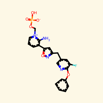 Nc1c(-c2cc(Cc3cnc(Oc4ccccc4)c(F)c3)no2)ccc[n+]1COP(=O)([O-])O